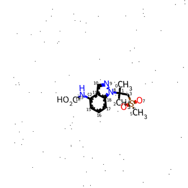 CC(C)(CS(C)(=O)=O)n1ncc2c(NC(=O)O)cccc21